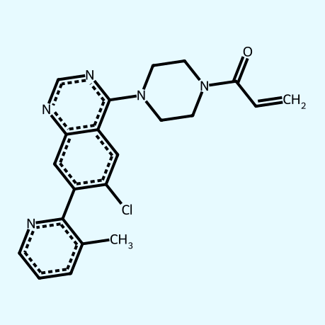 C=CC(=O)N1CCN(c2ncnc3cc(-c4ncccc4C)c(Cl)cc23)CC1